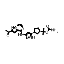 CC(=O)c1cc2c(Nc3cc([C@H]4CC[C@@H](C(C)(C)OC(N)=O)C4)[nH]n3)nccn2n1